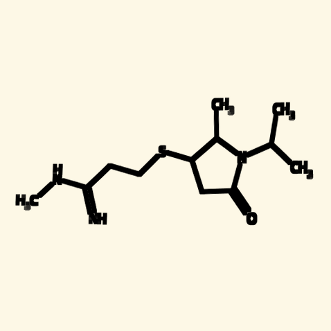 CNC(=N)CCSC1CC(=O)N(C(C)C)C1C